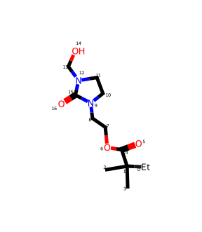 CCC(C)(C)C(=O)OCCN1CCN(CO)C1=O